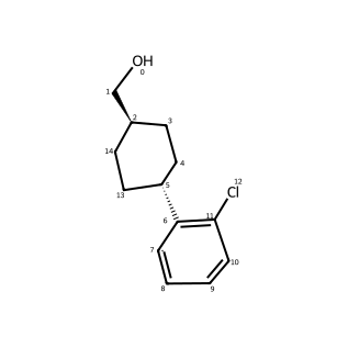 OC[C@H]1CC[C@H](c2[c]cccc2Cl)CC1